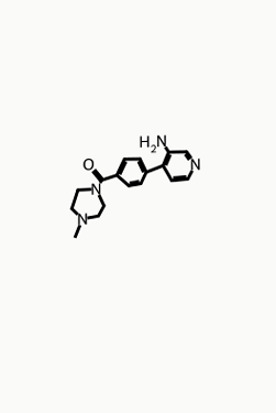 CN1CCN(C(=O)c2ccc(-c3ccncc3N)cc2)CC1